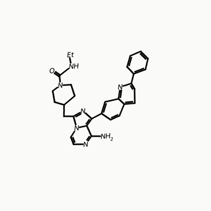 CCNC(=O)N1CCC(Cc2nc(-c3ccc4ccc(-c5ccccc5)nc4c3)c3c(N)nccn23)CC1